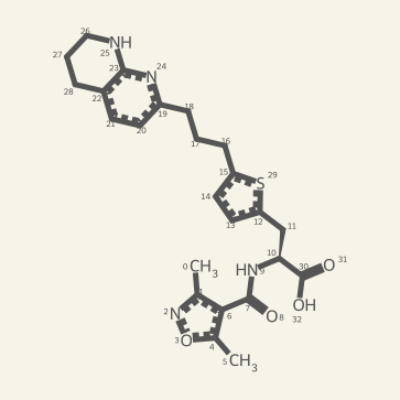 Cc1noc(C)c1C(=O)N[C@@H](Cc1ccc(CCCc2ccc3c(n2)NCCC3)s1)C(=O)O